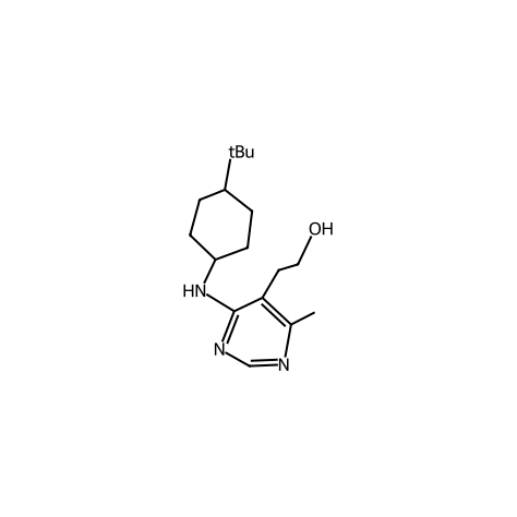 Cc1ncnc(NC2CCC(C(C)(C)C)CC2)c1CCO